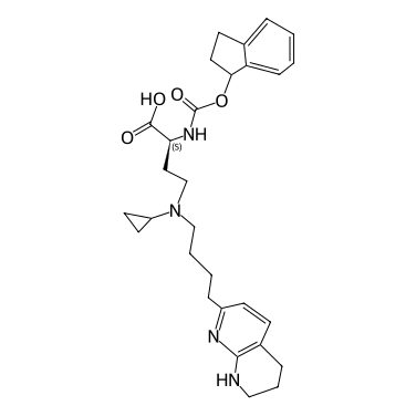 O=C(N[C@@H](CCN(CCCCc1ccc2c(n1)NCCC2)C1CC1)C(=O)O)OC1CCc2ccccc21